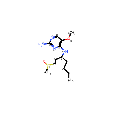 CCCC[C@@H](CC[S+](C)[O-])Nc1nc(N)ncc1OC